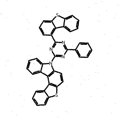 c1ccc(-c2nc(-c3cccc4sc5ccccc5c34)nc(-n3c4ccccc4c4c5c(ccc43)sc3ccccc35)n2)cc1